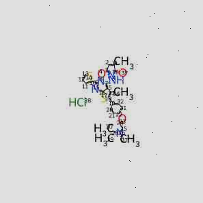 CC1=CC(=O)N(Nc2nc(-c3cccs3)nc3sc(-c4ccc(OCCN(C)C(C)C)cc4)c(C)c23)C1=O.Cl